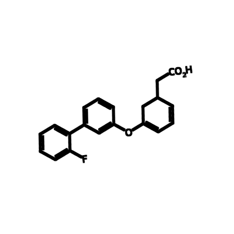 O=C(O)CC1C=CC=C(Oc2cccc(-c3ccccc3F)c2)C1